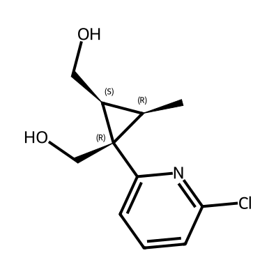 C[C@@H]1[C@H](CO)[C@@]1(CO)c1cccc(Cl)n1